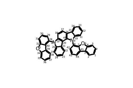 c1ccc2c(c1)oc1c(-n3c4ccccc4c4ccc5c(c6ccccc6n5-c5cccc6oc7ccccc7c56)c43)cccc12